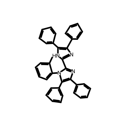 Cc1ccccc1-n1c(-c2nc(-c3ccccc3)c(-c3ccccc3)[nH]2)nc(-c2ccccc2)c1-c1ccccc1